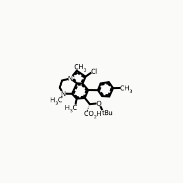 Cc1ccc(-c2c([C@H](OC(C)(C)C)C(=O)O)c(C)c3c4c2c(Cl)c(C)n4CCN3C)cc1